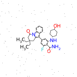 CCC1(CC)CC(=O)n2c(c(-c3cc(F)c(C(N)=O)c(N[C@H]4CC[C@H](O)CC4)c3)c3ccccc32)C1